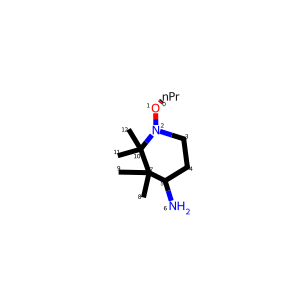 CCCON1CCC(N)C(C)(C)C1(C)C